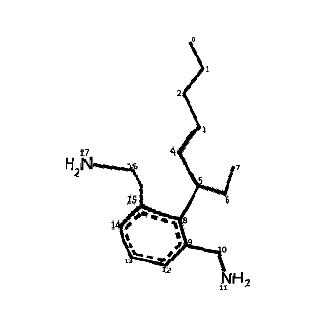 CCCCCC(CC)c1c(CN)cccc1CN